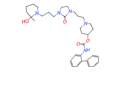 CC1(O)CCCCN1CCCN1CCN(CCCN2CCC(OC(=O)Nc3ccccc3-c3ccccc3)CC2)C1=O